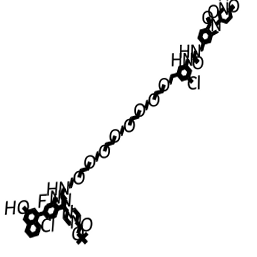 CC(C)(C)OC(=O)N1CCN(c2nc(NCCOCCOCCOCCOCCOCCOCCOCCOCCc3cc(Cl)cc(NC(=O)NCc4ccc5c(c4)CN(C4CCC(=O)NC4=O)C5=O)c3)nc3c(F)c(-c4cc(O)cc5ccccc45)c(Cl)cc23)CC1